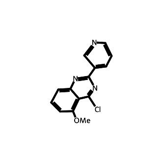 COc1cccc2nc(-c3cccnc3)nc(Cl)c12